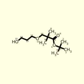 CC(C)(C)OC(=O)C(C)(C)COCCCO